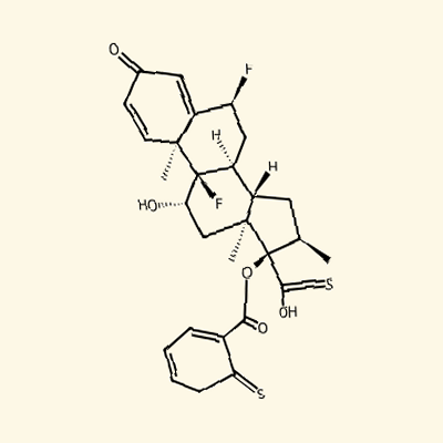 C[C@@H]1C[C@H]2[C@@H]3C[C@H](F)C4=CC(=O)C=C[C@]4(C)[C@@]3(F)[C@@H](O)C[C@]2(C)[C@@]1(OC(=O)C1=CC=CCC1=S)C(O)=S